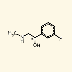 CNC[C@@H](O)c1cccc(F)c1